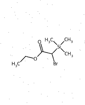 CCOC(=O)C(Br)[Si](C)(C)C